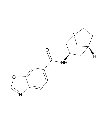 O=C(N[C@@H]1C[C@H]2CCN(C2)C1)c1ccc2ncoc2c1